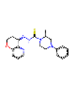 CC1CN(c2ccccc2)CCN1C(=S)N/N=C1/CCOc2cccnc21